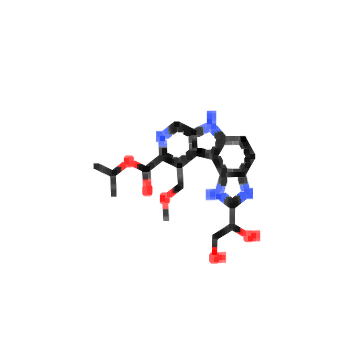 COCc1c(C(=O)OC(C)C)ncc2[nH]c3ccc4nc(C(O)CO)[nH]c4c3c12